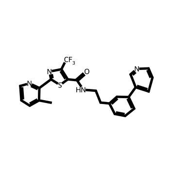 Cc1cccnc1-c1nc(C(F)(F)F)c(C(=O)NCCc2cccc(-c3cccnc3)c2)s1